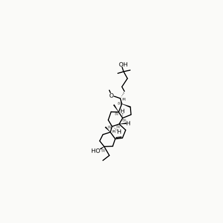 CC[C@]1(O)CC[C@@]2(C)C(=CC[C@H]3[C@@H]4CC[C@H]([C@@H](CCCC(C)(C)O)OC)[C@@]4(C)CC[C@@H]32)C1